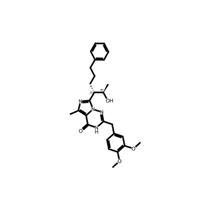 COc1ccc(Cc2nn3c([C@H](CCCc4ccccc4)[C@@H](C)O)nc(C)c3c(=O)[nH]2)cc1OC